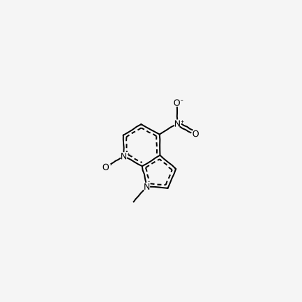 Cn1ccc2c([N+](=O)[O-])cc[n+]([O-])c21